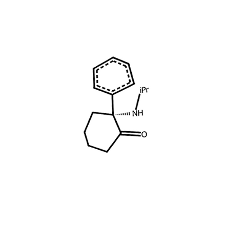 CC(C)N[C@@]1(c2ccccc2)CCCCC1=O